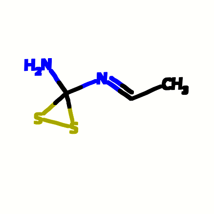 CC=NC1(N)SS1